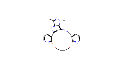 Cc1nn(C(C)C)c2c3cc(nc12)-c1cccnc1OCCCCOc1ncccc1CN3